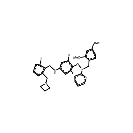 COc1ccc(CN(Sc2c(F)cc(NCc3c(F)cccc3CN3CCC3)cc2F)c2ccccn2)c(OC)c1